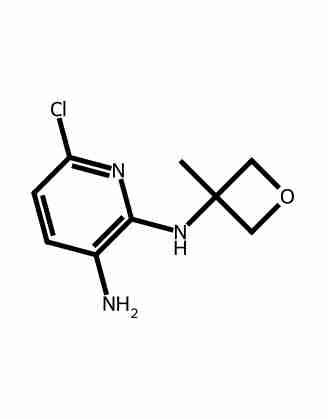 CC1(Nc2nc(Cl)ccc2N)COC1